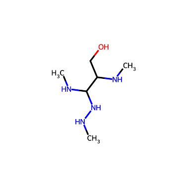 CNNC(NC)C(CO)NC